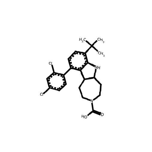 CC(C)(C)c1ccc(-c2ccc(Cl)cc2Cl)c2c1NC1CCN(C(=O)O)CCC21